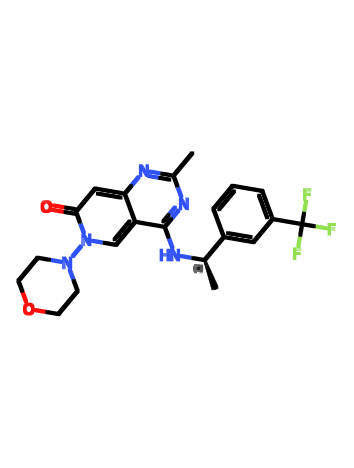 Cc1nc(N[C@H](C)c2cccc(C(F)(F)F)c2)c2cn(N3CCOCC3)c(=O)cc2n1